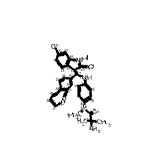 CN(C(=O)C(C)(C)N)c1ccc(N/C(=C2\C(=O)Nc3cc(Cl)ccc32)c2ccc3cccnc3c2)cc1